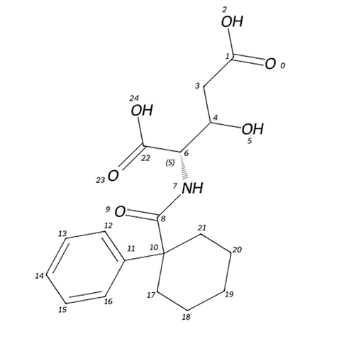 O=C(O)CC(O)[C@H](NC(=O)C1(c2ccccc2)CCCCC1)C(=O)O